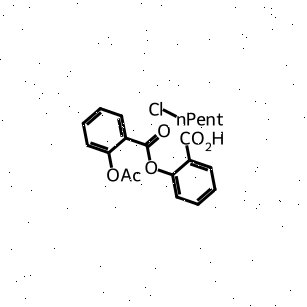 CC(=O)Oc1ccccc1C(=O)Oc1ccccc1C(=O)O.CCCCCCl